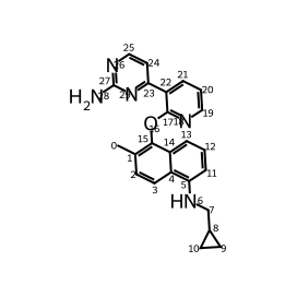 Cc1ccc2c(NCC3CC3)cccc2c1Oc1ncccc1-c1ccnc(N)n1